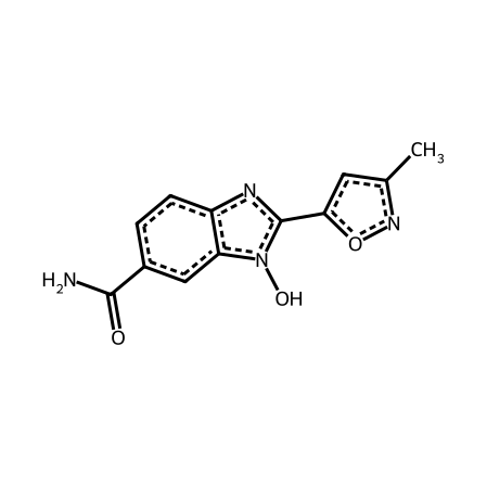 Cc1cc(-c2nc3ccc(C(N)=O)cc3n2O)on1